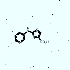 O=C(O)c1csc(Nc2cccnc2)n1